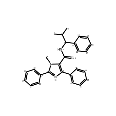 CC(C)C(NC(=O)c1c(-c2ccccc2)nc(-c2ccccc2)n1C)c1ccccc1